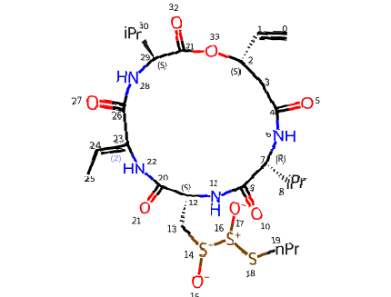 C=C[C@@H]1CC(=O)N[C@H](C(C)C)C(=O)N[C@H](C[S+]([O-])[S+]([O-])SCCC)C(=O)N/C(=C\C)C(=O)N[C@@H](C(C)C)C(=O)O1